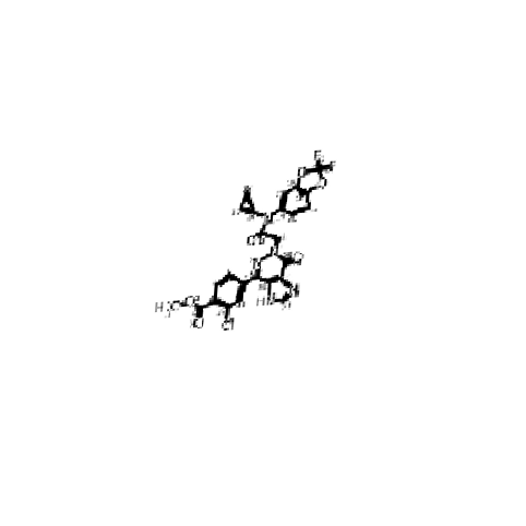 COC(=O)c1ccc(-c2nn(CC(=O)N(c3ccc4c(c3)OC(F)(F)O4)C3CC3)c(=O)c3nc[nH]c23)cc1Cl